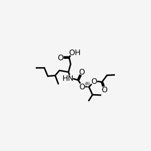 CCCC(C)CC(CC(=O)O)NC(=O)O[C@@H](OC(=O)CC)C(C)C